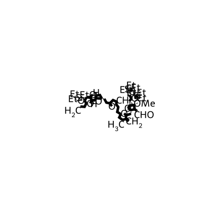 C=CCC1O[C@@H]2C3O[C@@H]4C[C@](CCC5CC(=C)C(CCC6CC(C)C(=C)C(C[C@@H]7O[C@H](CC(CO[Si](CC)(CC)CC)O[Si](CC)(CC)CC)[C@H](OC)C7CC=O)O6)O5)(OC3C1O[Si](CC)(CC)CC)OC24